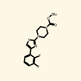 CC(C)(C)OC(=O)N1CCN(c2nc(-c3cccc(F)c3F)cs2)CC1